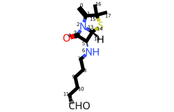 C=C1N2C(=O)[C@@H](NCCCCCC=O)[C@H]2SC1(C)C